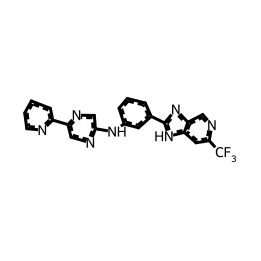 FC(F)(F)c1cc2[nH]c(-c3cccc(Nc4cnc(-c5ccccn5)cn4)c3)nc2cn1